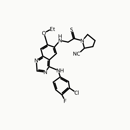 CCOc1cc2ncnc(Nc3ccc(F)c(Cl)c3)c2cc1NCC(=S)N1CCCC1C#N